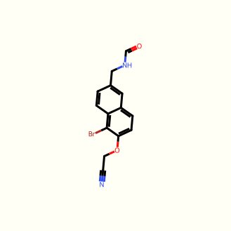 N#CCOc1ccc2cc(CNC=O)ccc2c1Br